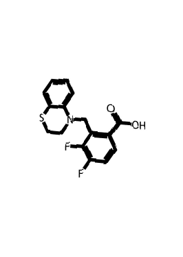 O=C(O)c1ccc(F)c(F)c1CN1CCSc2ccccc21